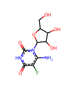 Nc1c(F)c(=O)[nH]c(=O)n1C1OC(CO)C(O)C1O